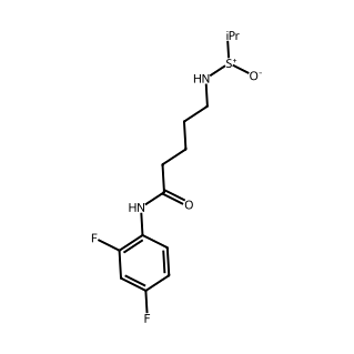 CC(C)[S+]([O-])NCCCCC(=O)Nc1ccc(F)cc1F